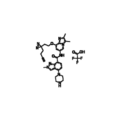 C#CCCC1(CCOc2cc(NC(=O)c3ccc(N4CCNCC4)c4cn(C)nc34)cn3c(C)c(C)nc23)N=N1.O=C(O)C(F)(F)F